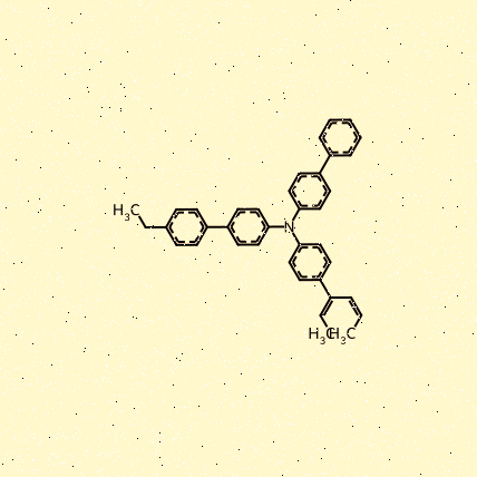 C/C=C\C(=C/C)c1ccc(N(c2ccc(-c3ccccc3)cc2)c2ccc(-c3ccc(CC)cc3)cc2)cc1